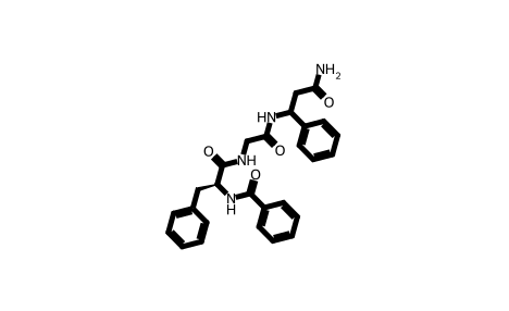 NC(=O)CC(NC(=O)CNC(=O)[C@H](Cc1ccccc1)NC(=O)c1ccccc1)c1ccccc1